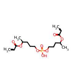 C=CC(=O)OC(C)CCCOP(=O)(O)OCCCC(C)OC(=O)C=C